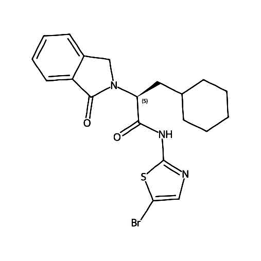 O=C(Nc1ncc(Br)s1)[C@H](CC1CCCCC1)N1Cc2ccccc2C1=O